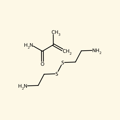 C=C(C)C(N)=O.NCCSSCCN